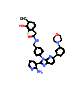 Nc1ncccc1-c1nc2ccc(-c3cccc(N4CCOCC4)c3)nc2n1-c1ccc(CNC(=O)Cc2ccc(C=O)c(O)c2F)cc1